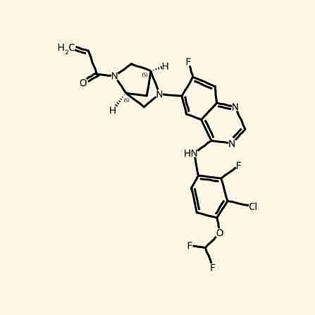 C=CC(=O)N1C[C@@H]2C[C@H]1CN2c1cc2c(Nc3ccc(OC(F)F)c(Cl)c3F)ncnc2cc1F